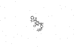 CC1(C)C[C@@H](Nc2nc(Cl)nc(N[C@H]3C[CH][C@@H](O[Si](C)(C)C(C)(C)C)C3)n2)c2ccccc21